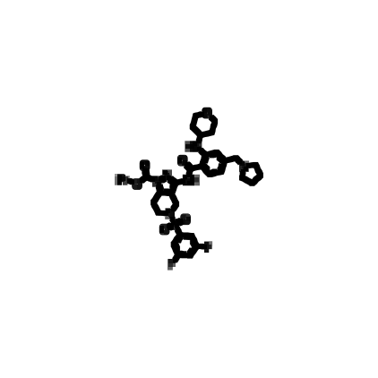 CC(C)OC(=O)n1nc(NC(=O)c2ccc(CN3CCCC3)cc2NC2CCOCC2)c2c1CCN(S(=O)(=O)c1cc(F)cc(F)c1)C2